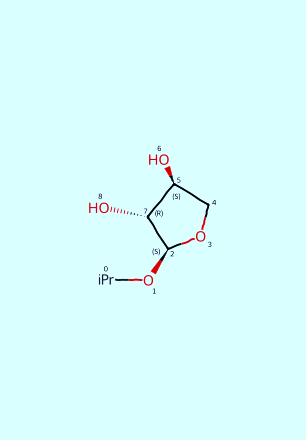 CC(C)O[C@@H]1OC[C@H](O)[C@H]1O